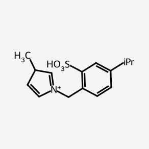 CC1C=C[N+](Cc2ccc(C(C)C)cc2S(=O)(=O)O)=C1